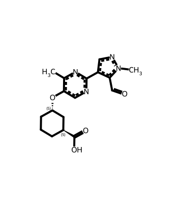 Cc1nc(-c2cnn(C)c2C=O)ncc1O[C@H]1CCC[C@H](C(=O)O)C1